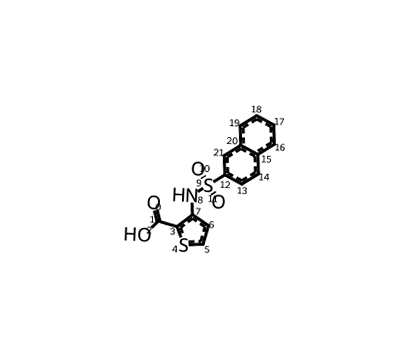 O=C(O)c1sccc1NS(=O)(=O)c1ccc2ccccc2c1